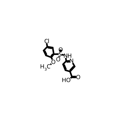 COc1ccc(Cl)cc1S(=O)(=O)Nc1ccc(C(=O)O)cn1